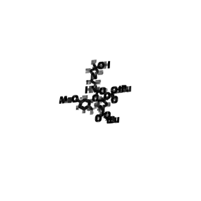 COc1ccc(C[C@@H]2[C@H](OC(=O)NCCN3CC(C)(O)C3)[C@@H](OC(=O)OC(C)(C)C)CN2C(=O)OC(C)(C)C)cc1